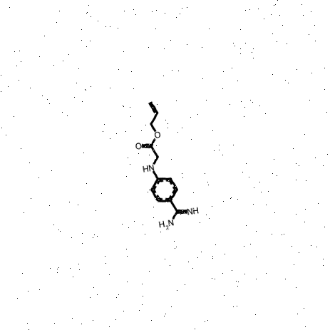 C=CCOC(=O)CNc1ccc(C(=N)N)cc1